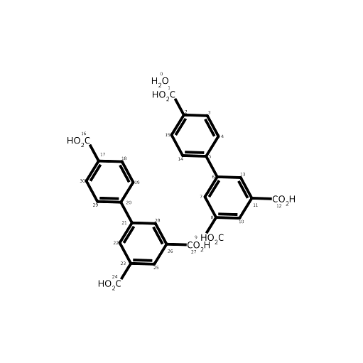 O.O=C(O)c1ccc(-c2cc(C(=O)O)cc(C(=O)O)c2)cc1.O=C(O)c1ccc(-c2cc(C(=O)O)cc(C(=O)O)c2)cc1